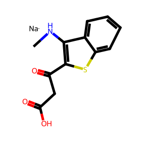 CNc1c(C(=O)CC(=O)O)sc2ccccc12.[Na]